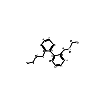 CCSCc1ccccc1-c1ccccc1CSCC